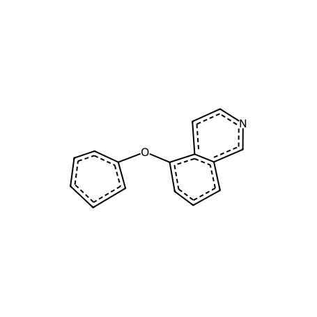 c1ccc(Oc2cccc3cnccc23)cc1